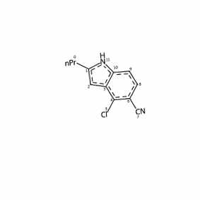 CCCc1cc2c(Cl)c(C#N)ccc2[nH]1